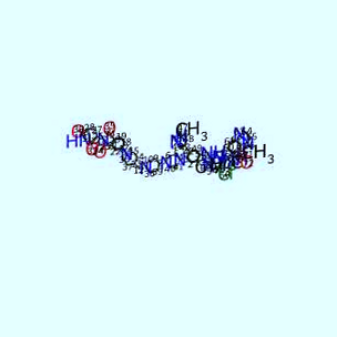 COc1cc(N2CCN(C3CCN(CC4CCN(c5ccc6c(c5)C(=O)N(C5CCC(=O)NC5=O)C6=O)CC4)CC3)CC2)c(-c2cnn(C)c2)cc1Nc1ncc(Cl)c(Nc2ccc3nccnc3c2P(C)(C)=O)n1